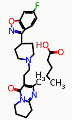 CCCCC(=O)O.Cc1nc2n(c(=O)c1CCN1CCC(c3noc4cc(F)ccc34)CC1)CCCC2